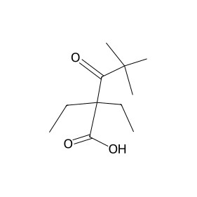 CCC(CC)(C(=O)O)C(=O)C(C)(C)C